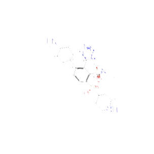 NC1CCC(c2ccc(S(=O)(=O)C3CCNCC3)c(S(N)(=O)=O)c2-c2nnn[nH]2)CC1